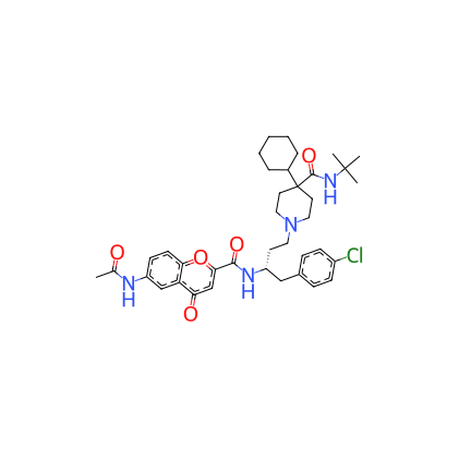 CC(=O)Nc1ccc2oc(C(=O)N[C@H](CCN3CCC(C(=O)NC(C)(C)C)(C4CCCCC4)CC3)Cc3ccc(Cl)cc3)cc(=O)c2c1